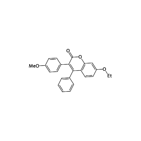 CCOc1ccc2c(-c3ccccc3)c(-c3ccc(OC)cc3)c(=O)oc2c1